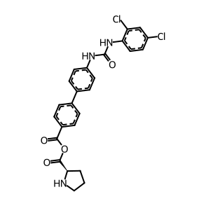 O=C(Nc1ccc(-c2ccc(C(=O)OC(=O)[C@H]3CCCN3)cc2)cc1)Nc1ccc(Cl)cc1Cl